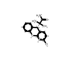 CC(C)(C(N)=O)[C@H]1c2ccccc2Oc2nc(Cl)ccc21